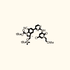 COCCn1cc(Cl)cc(Nc2nccc(-c3cc(C#N)c4c(c3)[C@@](C)(CO[Si](C)(C)C(C)(C)C)CN4C(=O)OC(C)(C)C)n2)c1=O